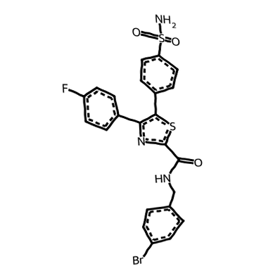 NS(=O)(=O)c1ccc(-c2sc(C(=O)NCc3ccc(Br)cc3)nc2-c2ccc(F)cc2)cc1